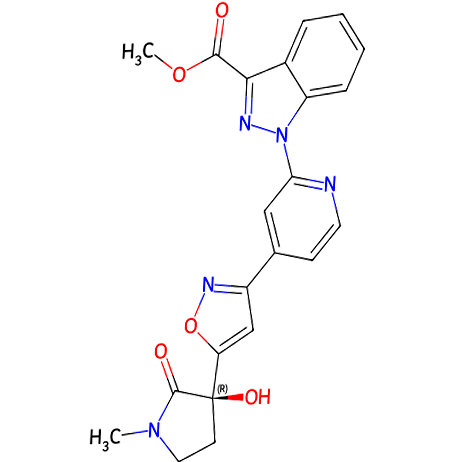 COC(=O)c1nn(-c2cc(-c3cc([C@]4(O)CCN(C)C4=O)on3)ccn2)c2ccccc12